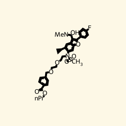 CCCOC(=O)c1ccc(COCCOCCN(c2cc3oc(-c4ccc(F)cc4)c(C(O)NC)c3cc2C2CC2)S(C)(=O)=O)cc1